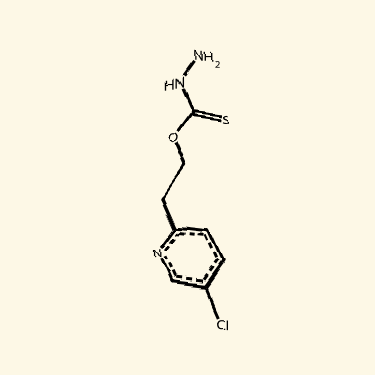 NNC(=S)OCCc1ccc(Cl)cn1